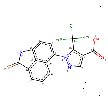 O=C(O)c1cnn(-c2ccc3c4c(cccc24)C(=S)N3)c1C(F)(F)F